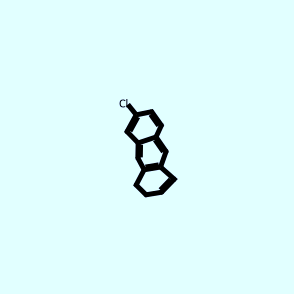 Clc1ccc2cc3c(cc2c1)CCC=C3